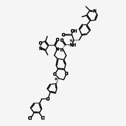 Cc1nccc(-c2ccc(C[C@H](NC(=O)[C@@H]3Cc4cc5c(cc4CN3C(=O)c3c(C)noc3C)O[C@@H](c3ccc(OCc4ccc(Cl)c(Cl)c4)cc3)CO5)C(=O)O)cc2)c1C